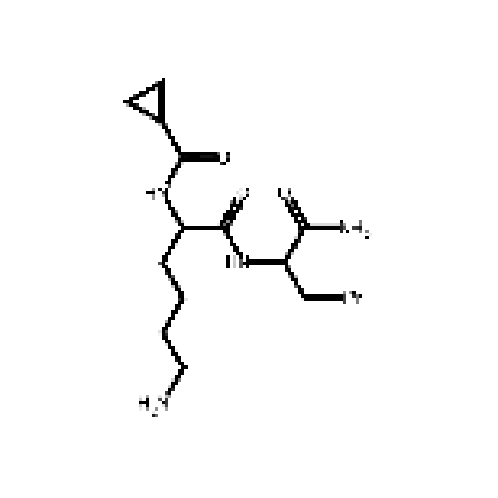 CC(C)CC(NC(=O)C(CCCCN)NC(=O)C1CC1)C(N)=O